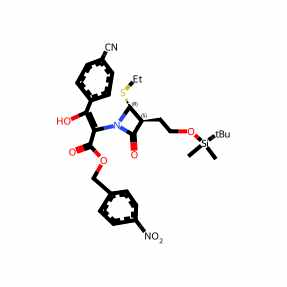 CCS[C@@H]1[C@@H](CCO[Si](C)(C)C(C)(C)C)C(=O)N1C(C(=O)OCc1ccc([N+](=O)[O-])cc1)=C(O)c1ccc(C#N)cc1